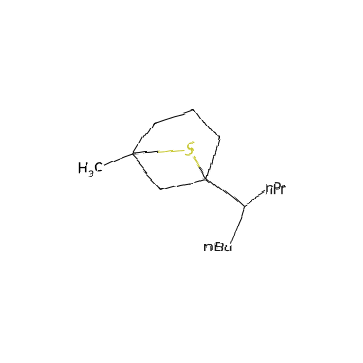 CCCCC(CCC)C12CCCC(C)(C1)S2